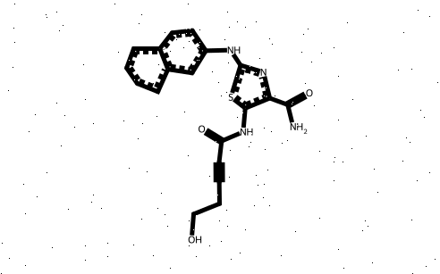 NC(=O)c1nc(Nc2ccc3ccccc3c2)sc1NC(=O)C#CCCO